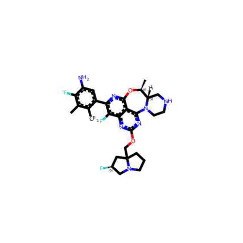 Cc1c(F)c(N)cc(-c2nc3c4c(nc(OCC56CCCN5C[C@@H](F)C6)nc4c2F)N2CCNC[C@H]2[C@H](C)O3)c1C(F)(F)F